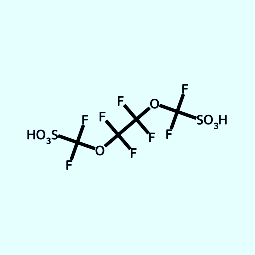 O=S(=O)(O)C(F)(F)OC(F)(F)C(F)(F)OC(F)(F)S(=O)(=O)O